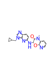 CN1C(=O)C(Nc2ccc3ncn(CC4CC4)c3n2)Oc2ncccc21